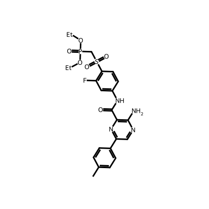 CCOP(=O)(CS(=O)(=O)c1ccc(NC(=O)c2nc(-c3ccc(C)cc3)cnc2N)cc1F)OCC